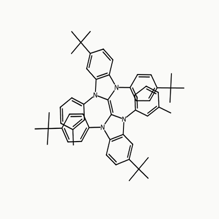 Cc1cccc(N2/C(=C3\N(c4ccc(C(C)(C)C)cc4)c4ccc(C(C)(C)C)cc4N3c3cccc(C)c3)N(c3ccc(C(C)(C)C)cc3)c3ccc(C(C)(C)C)cc32)c1